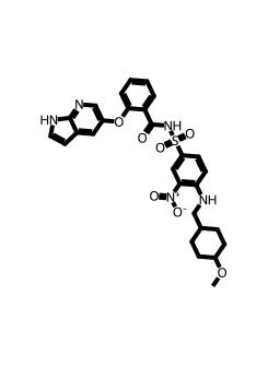 COC1CCC(CNc2ccc(S(=O)(=O)NC(=O)c3ccccc3Oc3cnc4[nH]ccc4c3)cc2[N+](=O)[O-])CC1